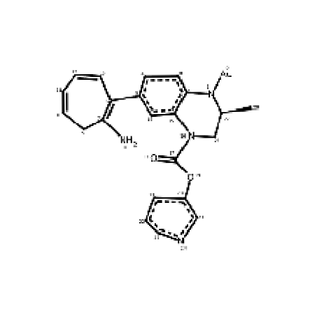 CC(=O)N1c2ccc(C3=C(N)CC=CC=C3)cc2N(C(=O)Oc2cccnc2)C[C@@H]1C